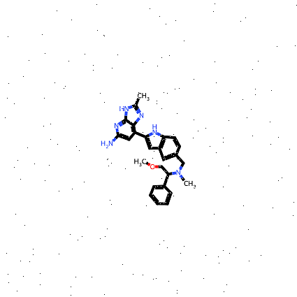 COCC(c1ccccc1)N(C)Cc1ccc2[nH]c(-c3cc(N)nc4[nH]c(C)nc34)cc2c1